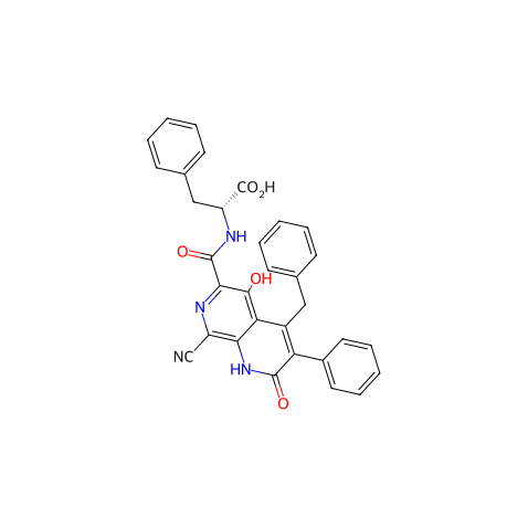 N#Cc1nc(C(=O)N[C@H](Cc2ccccc2)C(=O)O)c(O)c2c(Cc3ccccc3)c(-c3ccccc3)c(=O)[nH]c12